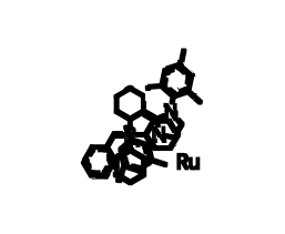 Cc1cc(C)c(N2CCN(c3c(C)cc(C)cc3C)C2=C2CCCCC2P(=Cc2ccccc2)(C2CCCCC2)C2CCCCC2)c(C)c1.[Ru]